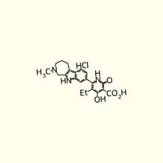 CCc1c(-c2ccc3c4c([nH]c3c2)CN(C)CCC4)[nH]c(=O)c(C(=O)O)c1O.Cl